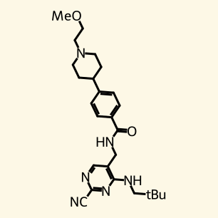 COCCN1CCC(c2ccc(C(=O)NCc3cnc(C#N)nc3NCC(C)(C)C)cc2)CC1